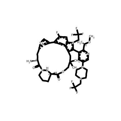 CO[C@@H](C)c1ncc(N2CCN(CC(F)(F)F)CC2)cc1-c1c2c3cc(c(F)cc3n1CC(F)(F)F)-c1csc(n1)C[C@H](N)C(=O)N1CCC[C@H](N1)C(=O)OCC(C)(C)C2